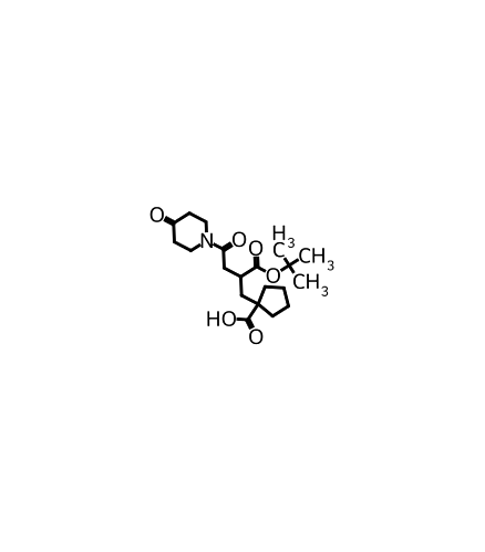 CC(C)(C)OC(=O)C(CC(=O)N1CCC(=O)CC1)CC1(C(=O)O)CCCC1